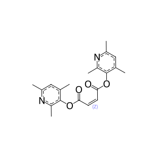 Cc1cc(C)c(OC(=O)/C=C\C(=O)Oc2c(C)cc(C)nc2C)c(C)n1